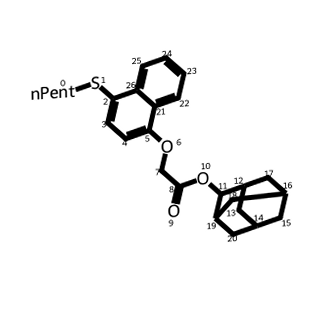 CCCCCSc1ccc(OCC(=O)OC2C3CC4CC(C3)CC2C4)c2ccccc12